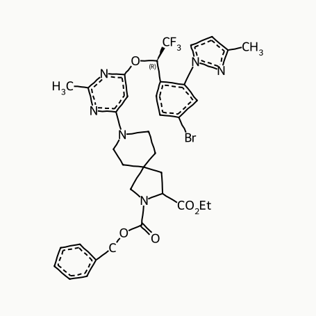 CCOC(=O)C1CC2(CCN(c3cc(O[C@H](c4ccc(Br)cc4-n4ccc(C)n4)C(F)(F)F)nc(C)n3)CC2)CN1C(=O)OCc1ccccc1